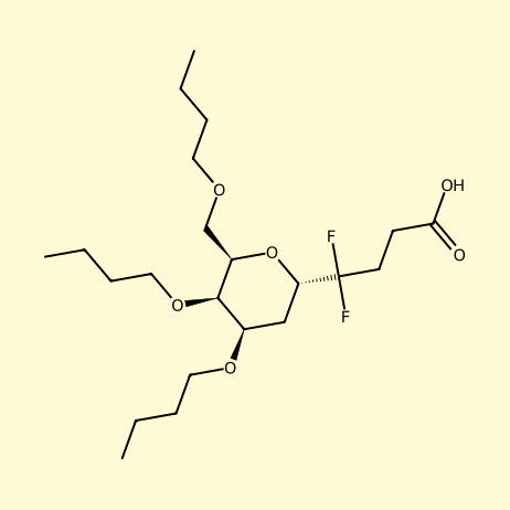 CCCCOC[C@H]1O[C@H](C(F)(F)CCC(=O)O)C[C@@H](OCCCC)[C@H]1OCCCC